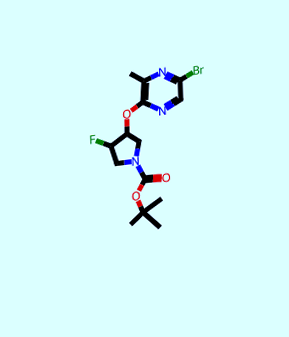 Cc1nc(Br)cnc1OC1CN(C(=O)OC(C)(C)C)CC1F